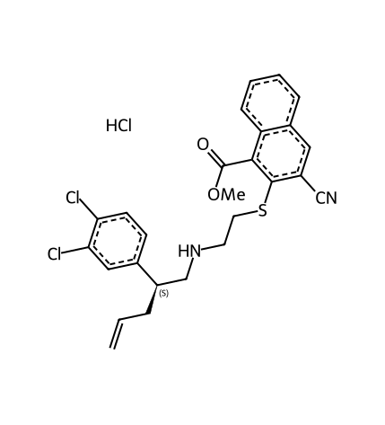 C=CC[C@H](CNCCSc1c(C#N)cc2ccccc2c1C(=O)OC)c1ccc(Cl)c(Cl)c1.Cl